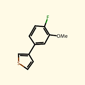 COc1cc(-c2ccsc2)ccc1F